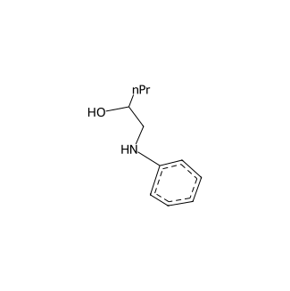 CCCC(O)CNc1ccccc1